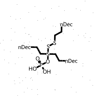 CCCCCCCCCCCCSSS(CCCCCCCCCCCC)(CCCCCCCCCCCC)OP(=O)(O)O